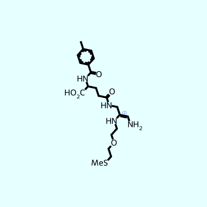 CSCCOCCN/C(=C\N)CNC(=O)CCC(NC(=O)c1ccc(C)cc1)C(=O)O